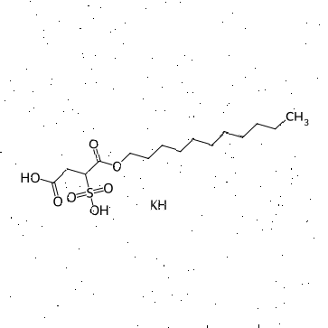 CCCCCCCCCCCOC(=O)C(CC(=O)O)S(=O)(=O)O.[KH]